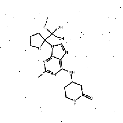 COC(O)(O)C1(n2cnc3c(NC4CCNC(=O)C4)nc(C)nc32)CCCO1